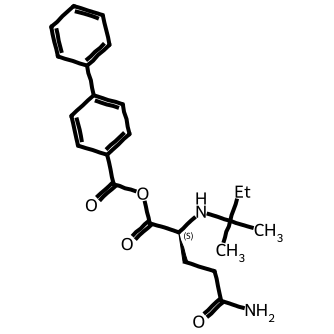 CCC(C)(C)N[C@@H](CCC(N)=O)C(=O)OC(=O)c1ccc(-c2ccccc2)cc1